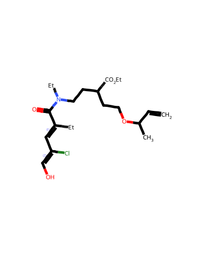 C=CC(C)OCCC(CCN(CC)C(=O)/C(=C/C(Cl)=C/O)CC)C(=O)OCC